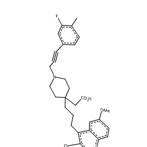 COc1ccc2ncc(Cl)c(CCCC3(CC(=O)O)CCN(CC#Cc4ccc(C)c(F)c4)CC3)c2c1